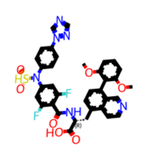 COc1cccc(OC)c1-c1ccc(C[C@@H](NC(=O)c2c(F)cc(N(c3ccc(-n4cncn4)cc3)[SH](=O)=O)cc2F)C(=O)O)c2ccncc12